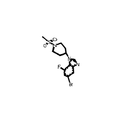 CS(=O)(=O)N1CCC(n2cnc3cc(Br)cc(F)c32)CC1